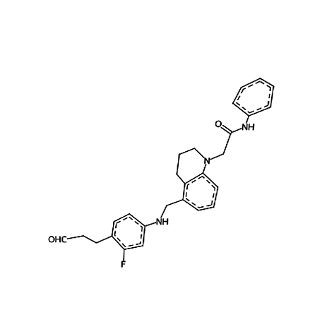 O=CCCc1ccc(NCc2cccc3c2CCCN3CC(=O)Nc2ccccc2)cc1F